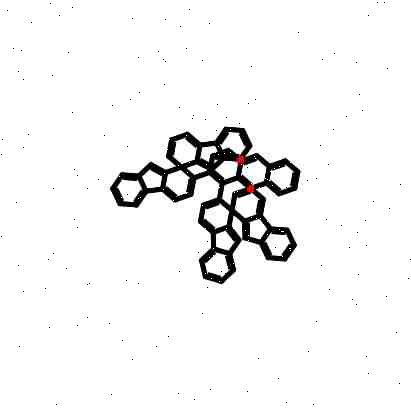 C1=CC2(C3=Cc4ccccc4C3=C1)C1=Cc3ccccc3C1=CC=C2c1ccc2cc3ccccc3cc2c1C1=CC=C2C(=Cc3ccccc32)C12C=CC=C1C2=Cc2ccccc21